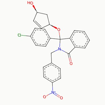 O=C1c2ccccc2C(O[C@H]2C=C[C@@H](O)C2)(c2ccc(Cl)cc2)N1Cc1ccc([N+](=O)[O-])cc1